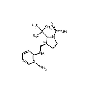 CC(C)(C)C1[C@H](CNc2ccncc2N)CCN1C(=O)O